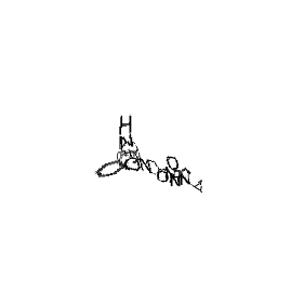 O=C([C@@H]1CCNC[C@H]1c1ccccc1)N1CCC(O)(Cn2cnc3c(ccn3CC3CC3)c2=O)CC1